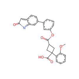 COc1ccccc1C1(C(=O)O)CC(C(=O)Oc2cccc(-c3ccc4c(c3)=NC(=O)C=4)c2)C1